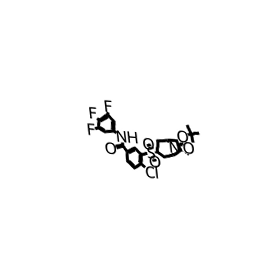 C[C@H]1CC2C[C@H](S(=O)(=O)c3cc(C(=O)Nc4cc(F)c(F)c(F)c4)ccc3Cl)CC1N2C(=O)OC(C)(C)C